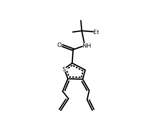 C=C/C=c1/cc(C(=O)NC(C)(C)CC)s/c1=C/C=C